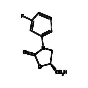 O=C(O)[C@@H]1CN(c2cccc(F)c2)C(=O)O1